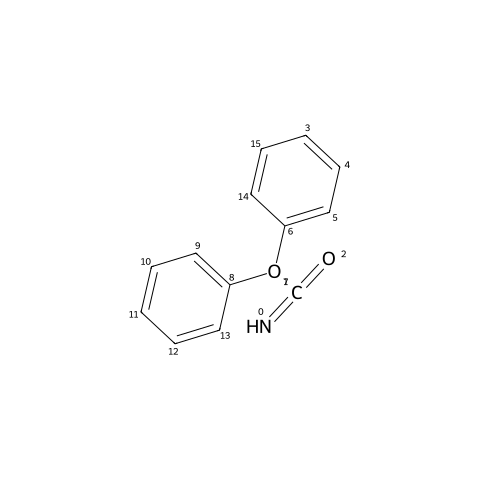 N=C=O.c1ccc(Oc2ccccc2)cc1